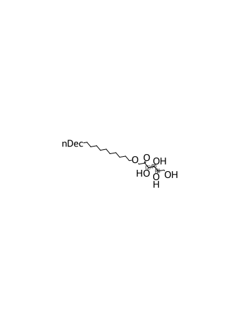 CCCCCCCCCCCCCCCCCCCCOCC(=O)[C@@H](O)[C@H](O)[C@H](O)CO